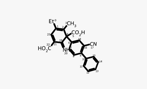 CCC1=C(C)C(C(=O)O)(c2ccc(-c3ccccc3)c(C#N)c2)C(=N)C(C(=O)O)=C1